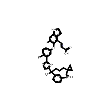 CC(CCCC1(CO)CC1)(c1cccc(Br)c1)c1cnc(-c2cc(Oc3c(F)cc4[nH]ccc4c3/C=C/C(=O)O)ccc2F)[nH]1